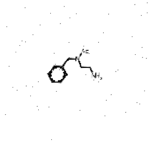 CC(=O)N(CCN)Cc1ccccc1